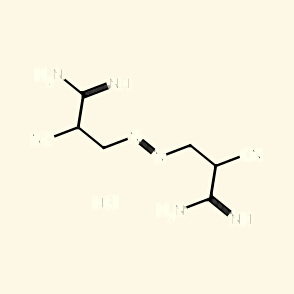 Cl.N#CC(CN=NCC(C#N)C(=N)N)C(=N)N